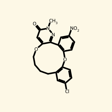 Cn1nc2c(cc1=O)OCCCCc1cc(Cl)ccc1Oc1ccc([N+](=O)[O-])cc1-2